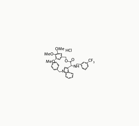 COc1cc(COC(=O)C(NCc2cccc(C(F)(F)F)c2)c2cn(Cc3ccccc3)c3ccccc23)cc(OC)c1OC.Cl